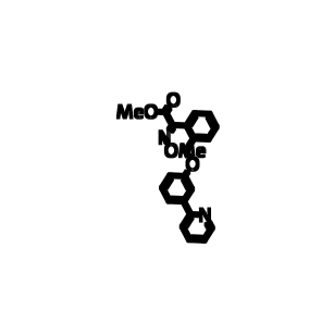 CO/N=C(/C(=O)OC)c1ccccc1COc1cccc(-c2ccccn2)c1